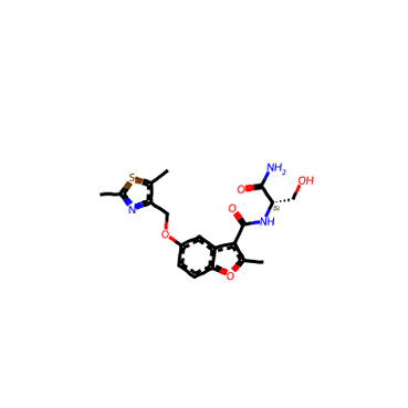 Cc1nc(COc2ccc3oc(C)c(C(=O)N[C@@H](CO)C(N)=O)c3c2)c(C)s1